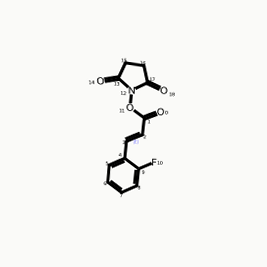 O=C(/C=C/c1ccccc1F)ON1C(=O)CCC1=O